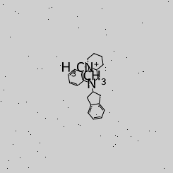 C[N+]1(C)CCCCC1CN(c1ccccc1)C1Cc2ccccc2C1